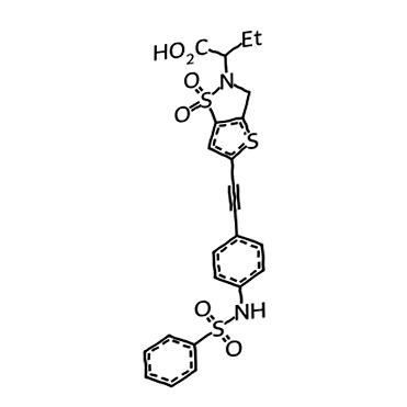 CCC(C(=O)O)N1Cc2sc(C#Cc3ccc(NS(=O)(=O)c4ccccc4)cc3)cc2S1(=O)=O